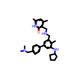 Cc1cc(C)c(CNCc2cc(-c3ccc(CN(C)C)cc3)cc(NC3CCCC3)c2C)c(=O)[nH]1